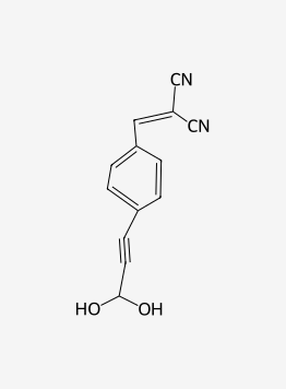 N#CC(C#N)=Cc1ccc(C#CC(O)O)cc1